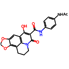 CC(=O)Nc1ccc(NC(=O)c2c(O)c3cc4c(c5c3n(c2=O)CCC5)OCO4)cc1